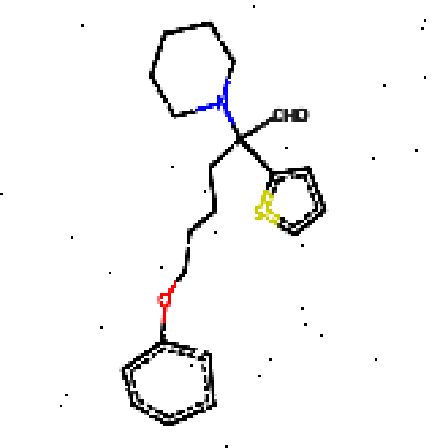 O=CC(CCCCOc1ccccc1)(c1cccs1)N1CCCCC1